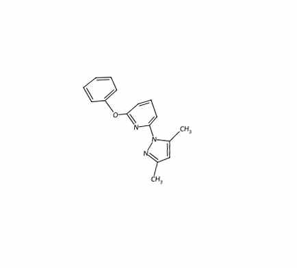 Cc1cc(C)n(-c2cccc(Oc3ccccc3)n2)n1